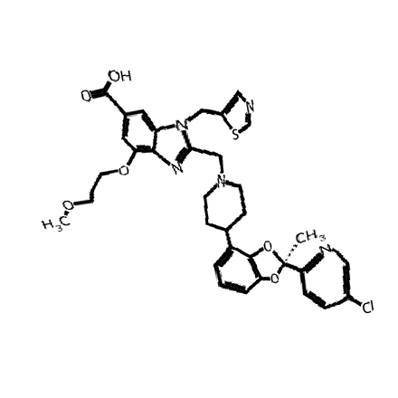 COCCOc1cc(C(=O)O)cc2c1nc(CN1CCC(c3cccc4c3O[C@@](C)(c3ccc(Cl)cn3)O4)CC1)n2Cc1cncs1